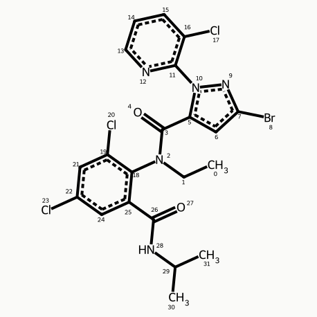 CCN(C(=O)c1cc(Br)nn1-c1ncccc1Cl)c1c(Cl)cc(Cl)cc1C(=O)NC(C)C